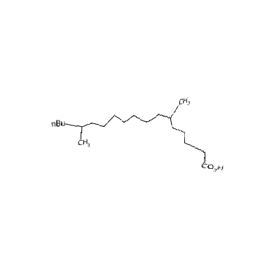 CCCCC(C)CCCCCCCC(C)CCCCC(=O)O